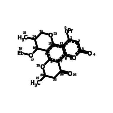 CCCc1cc(=O)oc2c3c(c4c(c12)OCC(C)C4OCC)OC(C)CC3=O